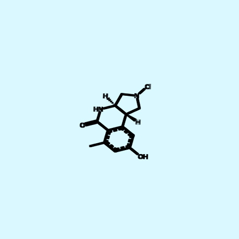 Cc1cc(O)cc2c1C(=O)N[C@H]1CN(Cl)C[C@H]21